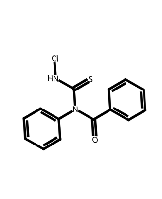 O=C(c1ccccc1)N(C(=S)NCl)c1ccccc1